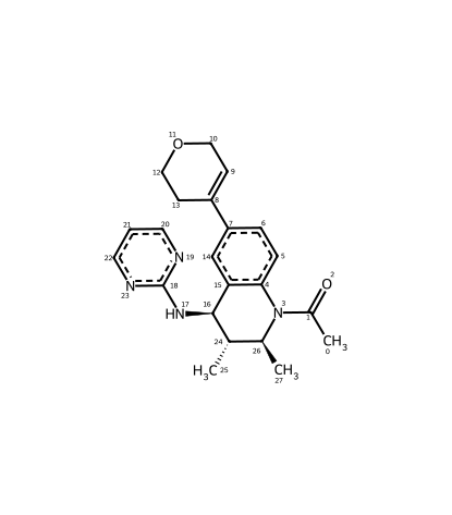 CC(=O)N1c2ccc(C3=CCOCC3)cc2[C@H](Nc2ncccn2)[C@@H](C)[C@@H]1C